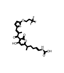 C/C(=C\c1ccc(OCCC(F)(F)F)s1)C(=O)c1c(O)cc(C(C)CC/C=C/NC(=O)O)oc1=O